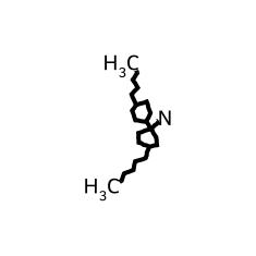 CCCCCCC1CCC(C#N)(C2CCC(CCCCC)CC2)CC1